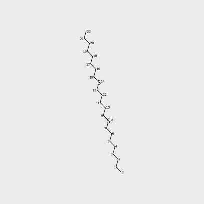 CCCCCCCCSCCCCCSCCCCCCCC